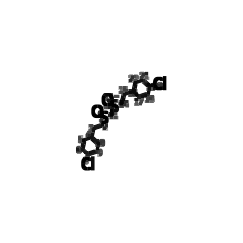 [O-][S+](/C=C/c1ccc(Cl)cc1)C[S+]([O-])/C=C/c1ccc(Cl)cc1